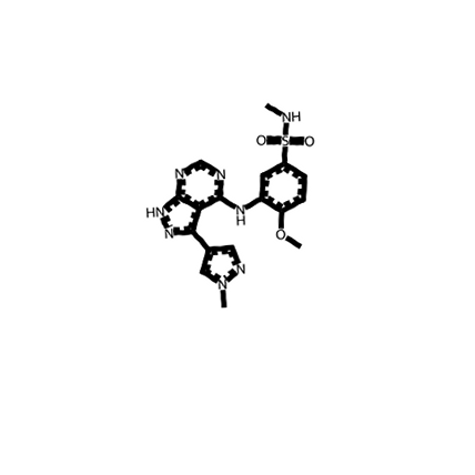 CNS(=O)(=O)c1ccc(OC)c(Nc2ncnc3[nH]nc(-c4cnn(C)c4)c23)c1